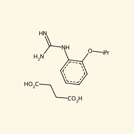 CC(C)Oc1ccccc1NC(=N)N.O=C(O)CCC(=O)O